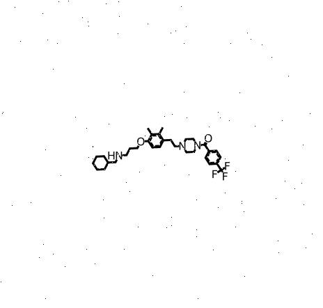 Cc1c(CCN2CCN(C(=O)c3ccc(C(F)(F)F)cc3)CC2)ccc(OCCCNCC2CCCCC2)c1C